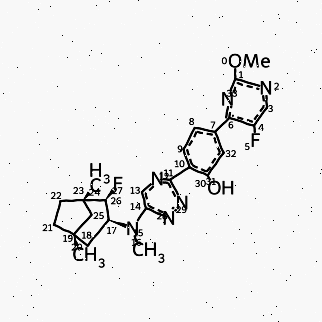 COc1ncc(F)c(-c2ccc(-c3ncc(N(C)[C@H]4C[C@]5(C)CC[C@@](C)(C5)[C@H]4F)nn3)c(O)c2)n1